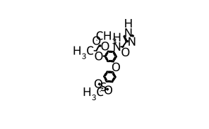 COC(=O)[C@H](C)Oc1cc(NC(=O)c2c[nH]cn2)cc(Oc2ccc(S(C)(=O)=O)cc2)c1